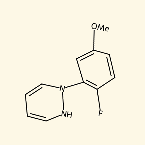 COc1ccc(F)c(N2C=CC=CN2)c1